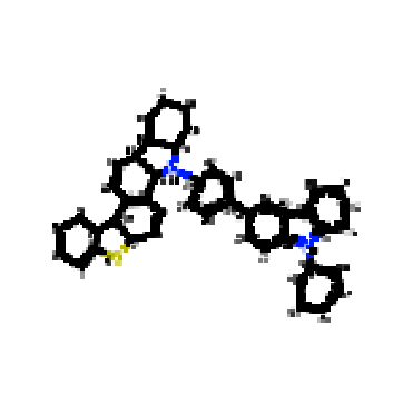 C1=CCC2C(=C1)SC1C=CC3=C(C=CC4C5=CCCCC5N(c5ccc(-c6ccc7c(c6)c6ccccc6n7-c6ccccc6)cc5)C34)C12